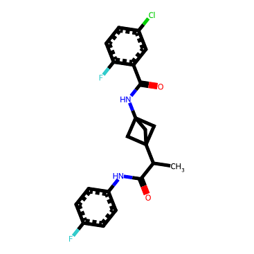 CC(C(=O)Nc1ccc(F)cc1)C12CC(NC(=O)c3cc(Cl)ccc3F)(C1)C2